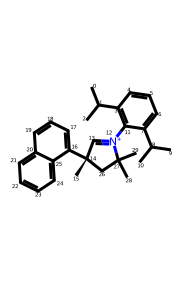 CC(C)c1cccc(C(C)C)c1[N+]1=C[C@@](C)(c2cccc3ccccc23)CC1(C)C